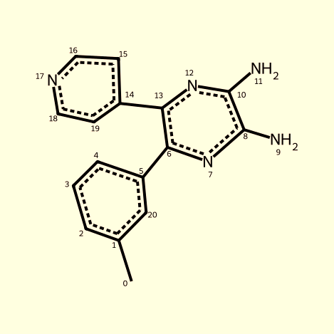 Cc1cccc(-c2nc(N)c(N)nc2-c2ccncc2)c1